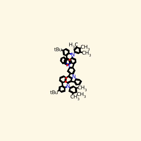 Cc1cc(N(c2ccc(C(C)(C)C)cc2-c2ccccc2)c2ccc3c4cc5c(cc4n4c6ccccc6c2c34)c2ccc(N(c3cc(C)c(C)c(C)c3)c3ccc(C(C)(C)C)cc3-c3ccccc3)c3c4ccccc4n5c23)cc(C)c1C